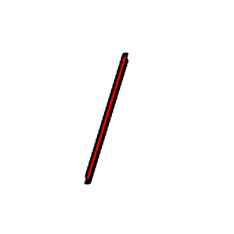 S=S=S=S=S=S=S=S=S=S=S=S=S=S=S=S=S=S=S=S=S=S=S=S=S=S=S=S=S=S=S=S=S=S=S=S=S=S=S=S=S=S=S=S=S=S=S=S=S=S=S=S=S=S=S=S=S=S=S=S=S=S=S=S=S=S=S=S=S=S=S=S=S=S=S=S=S=S=S=S=S=S=S=S=S=S=S=S=S=S=S=S=S=S=S=S=S=S=S=S=S=S=S=S=S=S=S=S=S=S=S=S=S=S=S=S=S=S=S=S=S=S=S=S=S=S=S=S